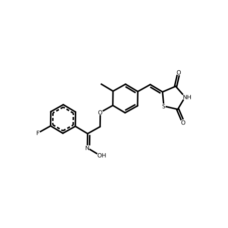 CC1C=C(/C=C2\SC(=O)NC2=O)C=CC1OC/C(=N\O)c1cccc(F)c1